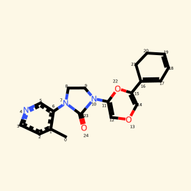 Cc1ccncc1N1CCN(C2=COC=C(C3=CC=CCC3)O2)C1=O